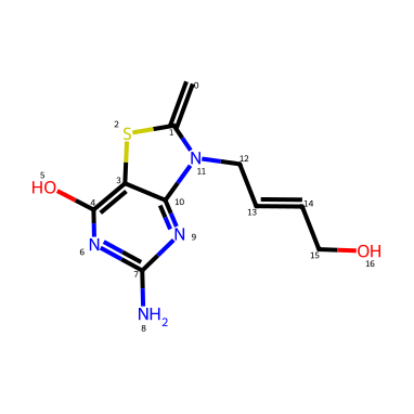 C=C1Sc2c(O)nc(N)nc2N1C/C=C/CO